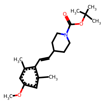 COc1cc(C)c(C=CC2CCN(C(=O)OC(C)(C)C)CC2)c(C)c1